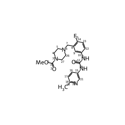 COC(=O)N1CCN(Cc2cc(NC(=O)Nc3ccc(C)nc3)ccc2F)CC1